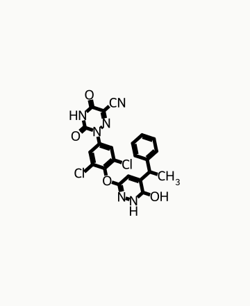 CC(C1=CC(Oc2c(Cl)cc(-n3nc(C#N)c(=O)[nH]c3=O)cc2Cl)=NNC1O)c1ccccc1